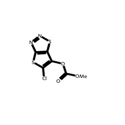 COC(=O)Oc1c(Cl)sc2nnsc12